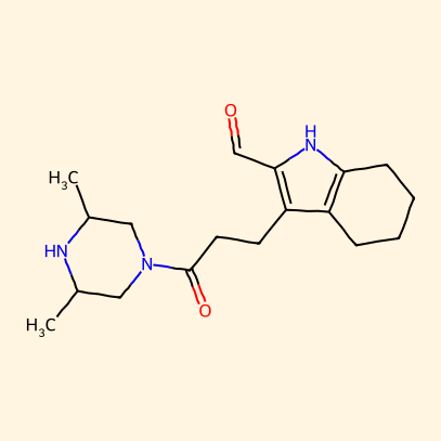 CC1CN(C(=O)CCc2c(C=O)[nH]c3c2CCCC3)CC(C)N1